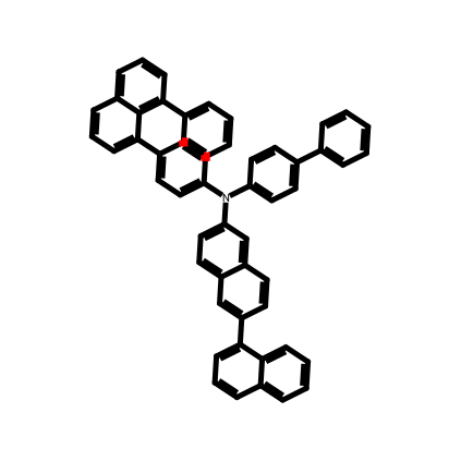 c1ccc(-c2ccc(N(c3ccc(-c4cccc5cccc(-c6ccccc6)c45)cc3)c3ccc4cc(-c5cccc6ccccc56)ccc4c3)cc2)cc1